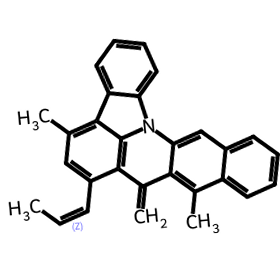 C=c1c2c(C)c3ccccc3cc2n2c3ccccc3c3c(C)cc(/C=C\C)c1c32